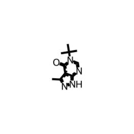 Cc1n[nH]c2ncn(C(C)(C)C)c(=O)c12